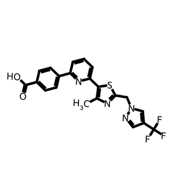 Cc1nc(Cn2cc(C(F)(F)F)cn2)sc1-c1cccc(-c2ccc(C(=O)O)cc2)n1